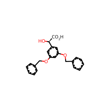 O=C(O)[C@H](O)c1cc(OCc2ccccc2)cc(OCc2ccccc2)c1